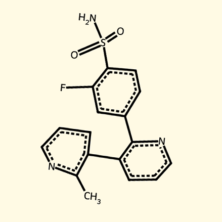 Cc1ncccc1-c1cccnc1-c1ccc(S(N)(=O)=O)c(F)c1